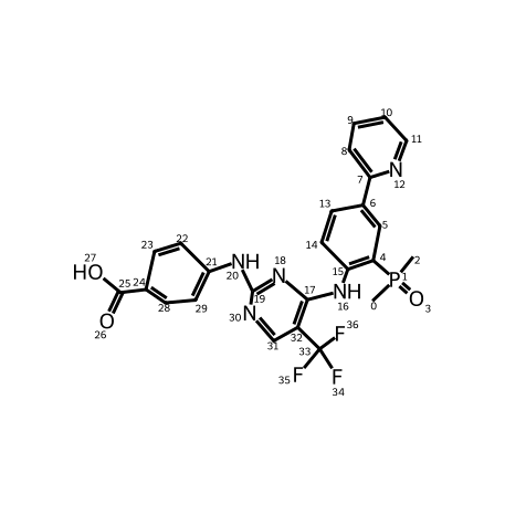 CP(C)(=O)c1cc(-c2ccccn2)ccc1Nc1nc(Nc2ccc(C(=O)O)cc2)ncc1C(F)(F)F